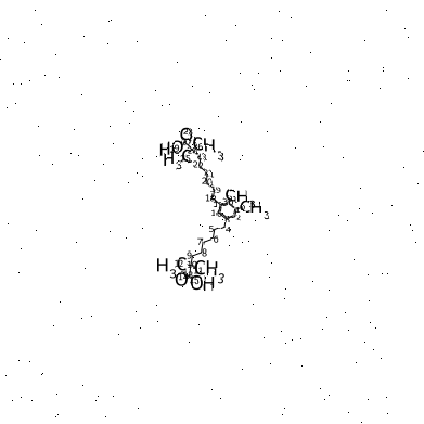 Cc1cc(CCCCCCC(C)(C)C(=O)O)cc(CCCCCCC(C)(C)C(=O)O)c1C